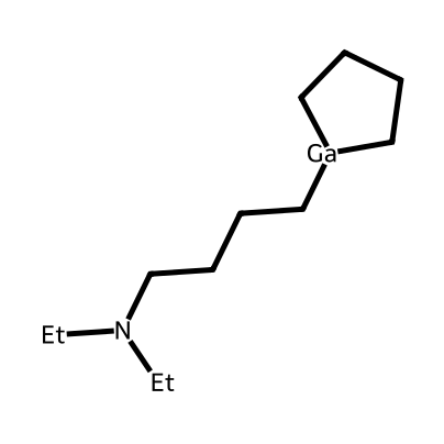 CCN(CC)CCC[CH2][Ga]1[CH2]CC[CH2]1